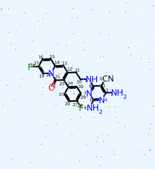 N#Cc1c(N)nc(N)nc1NCCc1cc2ccc(F)cn2c(=O)c1-c1ccc(F)cc1